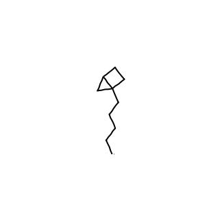 [CH2]CCCCC12CCC1C2